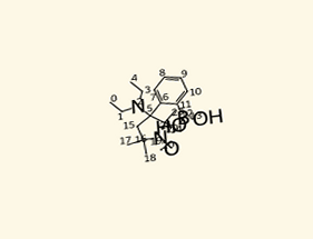 CCN(CC)C1(c2ccccc2B(O)O)CC(C)(C)N([O])C1(C)C